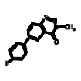 Cn1nnc2ccc(-c3ccc(F)cc3)cc2c1=O